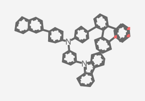 c1ccc(-c2ccccc2-c2c(-c3ccccc3)cccc2-c2ccc(N(c3ccc(-c4ccc5ccccc5c4)cc3)c3cccc(-n4c5ccccc5c5ccccc54)c3)cc2)cc1